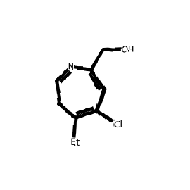 CCC1=C(Cl)C=C(CO)N=CC1